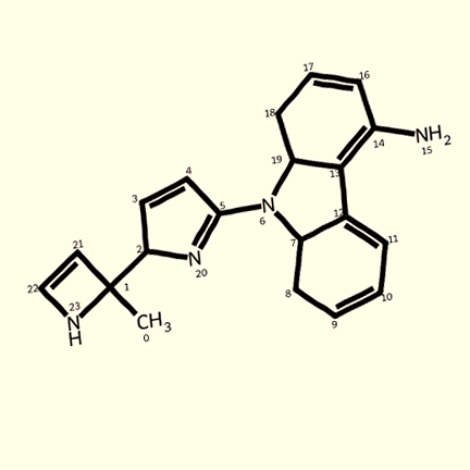 CC1(C2C=CC(N3C4CC=CC=C4C4=C(N)C=CCC43)=N2)C=CN1